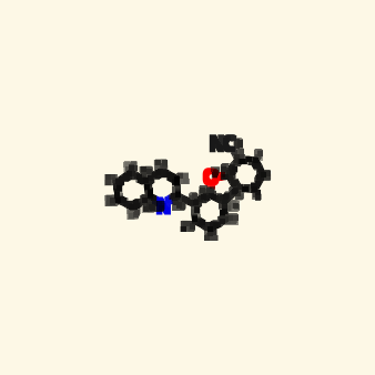 N#Cc1cccc2c1oc1c(-c3ccc4ccccc4n3)cccc12